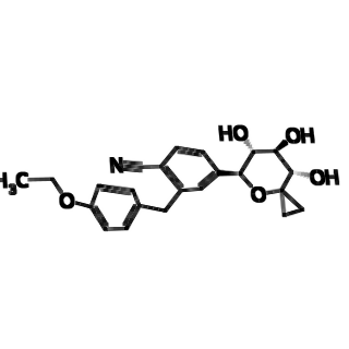 CCOc1ccc(Cc2cc([C@@H]3OC4(CC4)[C@@H](O)[C@H](O)[C@H]3O)ccc2C#N)cc1